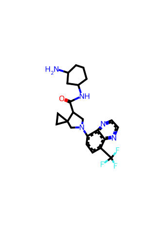 NC1CCCC(NC(=O)C2CN(c3ccc(C(F)(F)F)c4nccnc34)CC23CC3)C1